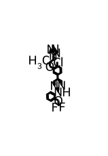 CC(Cn1cnnn1)Oc1cc(-c2cnc(Nc3ccccc3OC(F)F)nc2)ccc1Cl